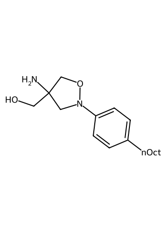 CCCCCCCCc1ccc(N2CC(N)(CO)CO2)cc1